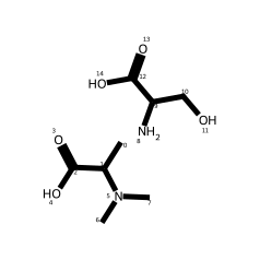 CC(C(=O)O)N(C)C.NC(CO)C(=O)O